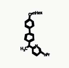 CCCCCCOc1ccc(-c2ccc(C(C)c3ccc(CCC)cn3)cc2)cc1